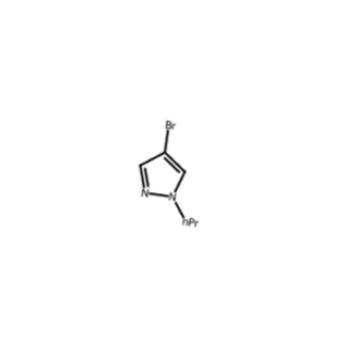 CCCn1cc(Br)cn1